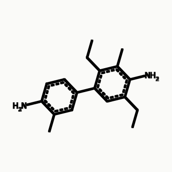 CCc1cc(-c2ccc(N)c(C)c2)c(CC)c(C)c1N